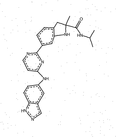 CC(C)NC(=O)C1(C)Cc2ccc(-c3nccc(Nc4ccc5[nH]ncc5c4)n3)cc2N1